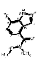 CON(C)C(=O)c1ccc(F)c2[nH]ncc12